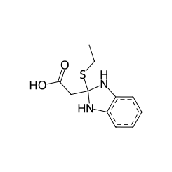 CCSC1(CC(=O)O)Nc2ccccc2N1